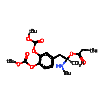 CCC(C)N[C@@](Cc1ccc(OC(=O)OC(C)(C)C)c(OC(=O)OC(C)(C)C)c1)(OC(=O)CC(C)(C)C)C(=O)O